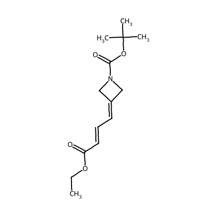 CCOC(=O)C=CC=C1CN(C(=O)OC(C)(C)C)C1